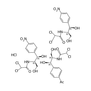 CC(=O)c1ccc([C@@H](O)[C@@H](CO)NC(=O)C(Cl)Cl)cc1.Cl.O=C(N[C@H](CO)[C@H](O)c1ccc([N+](=O)[O-])cc1)C(Cl)Cl.O=C(N[C@H](CO)[C@H](O)c1ccc([N+](=O)[O-])cc1)C(Cl)Cl